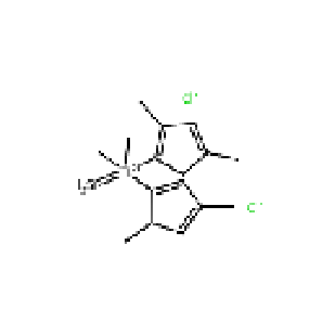 CC1=CC(C)[C]([Ti+2]([CH3])([CH3])(=[SiH2])[C]2=C(C)C=C(C)C2)=C1.[Cl-].[Cl-]